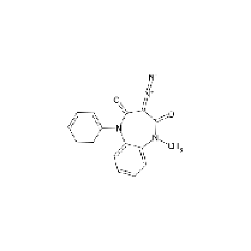 Cn1c(=O)c(=[N+]=[N-])c(=O)n(-c2ccccc2)c2ccccc21